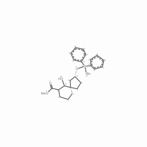 COC(=O)C1CCC[C@]2(CC[C@@H](O[Si](c3ccccc3)(c3ccccc3)C(C)(C)C)C2)C1O